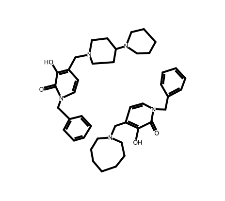 O=c1c(O)c(CN2CCC(N3CCCCC3)CC2)ccn1Cc1ccccc1.O=c1c(O)c(CN2CCCCCCC2)ccn1Cc1ccccc1